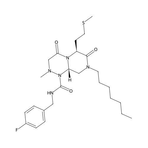 CCCCCCCN1C[C@H]2N(C(=O)CN(C)N2C(=O)NCc2ccc(F)cc2)[C@@H](CCSC)C1=O